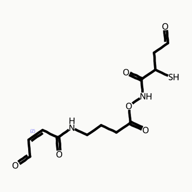 O=C/C=C\C(=O)NCCCC(=O)ONC(=O)C(S)CC=O